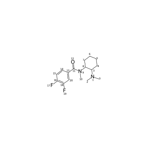 CN(C)C1CCCCC1N(C)C(=O)c1ccc(F)c(F)c1